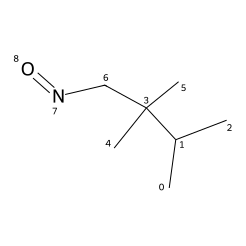 CC(C)C(C)(C)CN=O